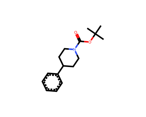 CC(C)(C)OC(=O)N1CCC(c2cc[c]cc2)CC1